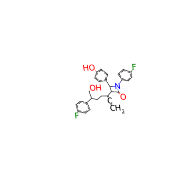 C=C=C(CCC(CO)c1ccc(F)cc1)C1C(=O)N(c2ccc(F)cc2)C1c1ccc(O)cc1